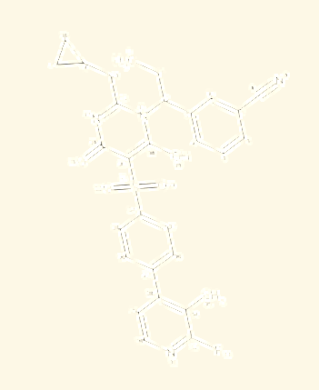 CCC(c1cccc(C#N)c1)n1c(CC2CC2)nc(=O)c(S(=O)(=O)c2ccc(-c3ccnc(F)c3C)cc2)c1O